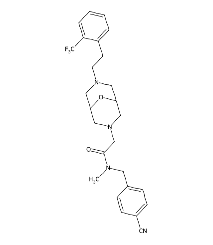 CN(Cc1ccc(C#N)cc1)C(=O)CN1CC2CN(CCc3ccccc3C(F)(F)F)CC(C1)O2